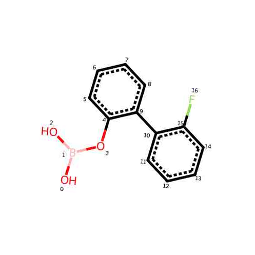 OB(O)Oc1ccccc1-c1ccccc1F